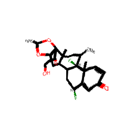 CCCC1OC2CC3C4C[C@H](F)C5=CC(=O)C=CC5(C)[C@@]4(F)C(OC)CC3(C)C2(C(=O)CO)O1